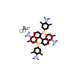 Cc1cc(P(c2cc(C)c(N(C)C)c(C)c2)c2ccc3ccccc3c2-c2c(P(c3cc(C)c(N(C)C)c(C)c3)c3cc(C)c(N(C)C)c(C)c3)ccc3ccccc23)cc(C)c1N(C)C.[Cl-].[Cl][Ru+]